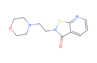 O=c1c2cccnc2sn1CCN1CCOCC1